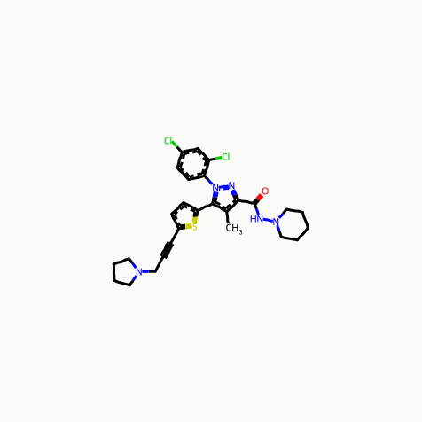 Cc1c(C(=O)NN2CCCCC2)nn(-c2ccc(Cl)cc2Cl)c1-c1ccc(C#CCN2CCCC2)s1